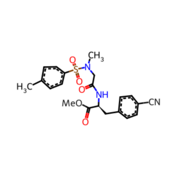 COC(=O)[C@H](Cc1ccc(C#N)cc1)NC(=O)CN(C)S(=O)(=O)c1ccc(C)cc1